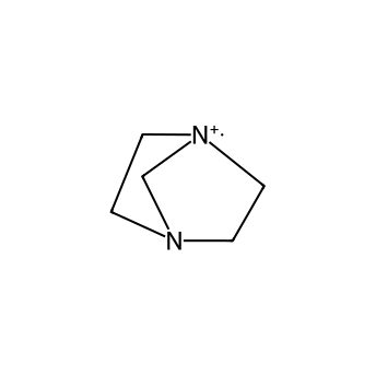 C1C[N+]2CCN1C2